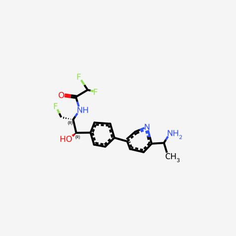 CC(N)c1ccc(-c2ccc([C@@H](O)[C@H](CF)NC(=O)C(F)F)cc2)cn1